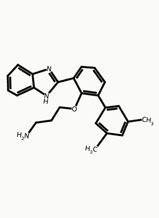 Cc1cc(C)cc(-c2cccc(-c3nc4ccccc4[nH]3)c2OCCCN)c1